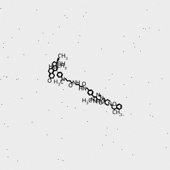 CC#C[C@]1(O)CC[C@H]2[C@@H]3CCC4=CC(=O)CCC4=C3[C@@H](c3ccc(N(C)CCCC(=O)NCCCC(=O)NCc4ccc(-c5c6ncn(CC7(O)CCN(C(=O)C[C@@H](C)c8ccccc8)CC7)c(=O)c6nn5C)cc4)cc3)C[C@@]21C